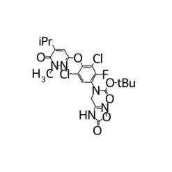 CC(C)c1cc(Oc2c(Cl)cc(N(Cc3noc(=O)[nH]3)C(=O)OC(C)(C)C)c(F)c2Cl)nn(C)c1=O